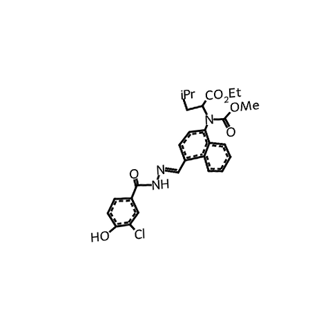 CCOC(=O)C(CC(C)C)N(C(=O)OC)c1ccc(/C=N/NC(=O)c2ccc(O)c(Cl)c2)c2ccccc12